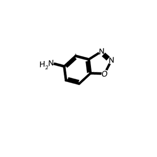 Nc1[c]c2nnoc2cc1